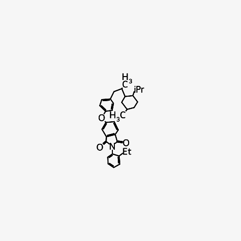 CCc1ccccc1N1C(=O)c2ccc(Oc3ccc(CC(C)C4CC(C)CCC4C(C)C)cc3)cc2C1=O